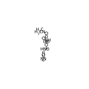 CCN(CC)c1cccc(Oc2ccccc2NS(=O)(=O)c2ccc(C(=O)NCCN3CCN(c4ncccn4)CC3)cc2)c1